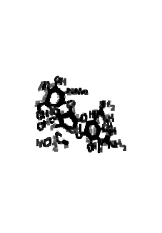 CC(=O)O.CN[C@@H]1[C@H](O[C@H]2[C@H](O[C@H]3[C@H](O)[C@@H](O)[C@H](NC(=N)N)[C@@H](O)[C@@H]3NC(=N)N)O[C@@H](C)[C@]2(O)C=O)O[C@@H](CO)[C@H](O)[C@H]1O